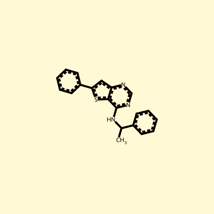 CC(Nc1ncnc2cc(-c3ccccc3)sc12)c1ccccc1